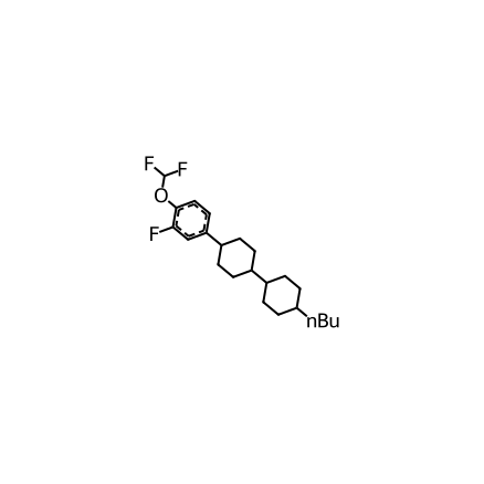 CCCCC1CCC(C2CCC(c3ccc(OC(F)F)c(F)c3)CC2)CC1